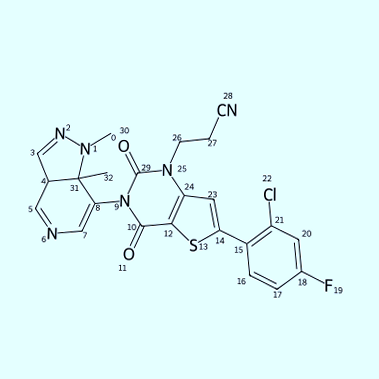 CN1N=CC2C=NC=C(n3c(=O)c4sc(-c5ccc(F)cc5Cl)cc4n(CCC#N)c3=O)C21C